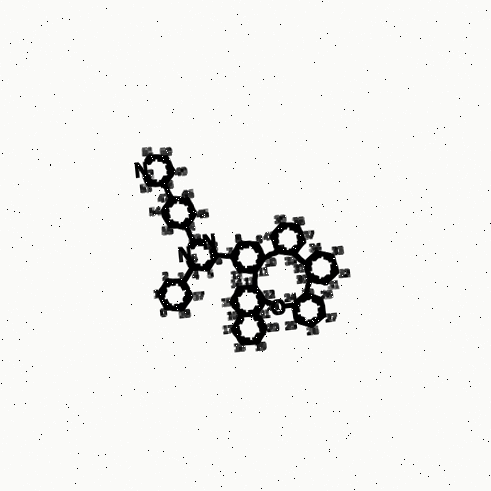 c1ccc(-c2cc(-c3ccc4c(c3)-c3ccc5ccccc5c3Oc3ccccc3-c3ccccc3-c3ccccc3-4)nc(-c3ccc(-c4cccnc4)cc3)n2)cc1